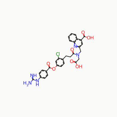 N=C(N)Nc1ccc(C(=O)Oc2ccc(CCC(=O)N(CC(=O)O)Cc3cc(C(=O)O)c4ccccc4n3)c(Cl)c2)cc1